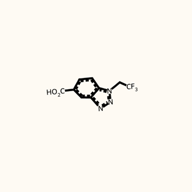 O=C(O)c1ccc2c(c1)nnn2CC(F)(F)F